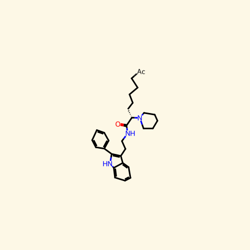 CC(=O)CCCCC[C@@H](C(=O)NCCc1c(-c2ccccc2)[nH]c2ccccc12)N1CCCCC1